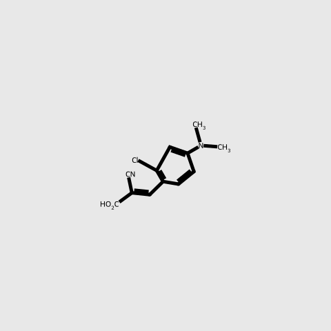 CN(C)c1ccc(/C=C(\C#N)C(=O)O)c(Cl)c1